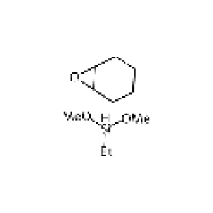 C1CCC2OC2C1.CC[SiH](OC)OC